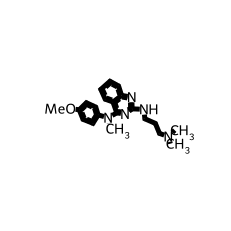 COc1ccc(N(C)c2nc(NCCCN(C)C)nc3ccccc23)cc1